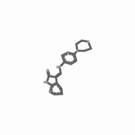 O=C1Nc2ncccc2C1=CNc1ccc(N2CCOCC2)nc1